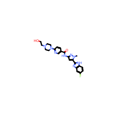 Cn1nc(NC(=O)c2ccc(N3CCN(CCO)CC3)nc2)cc1-c1nc2cc(F)ccc2[nH]1